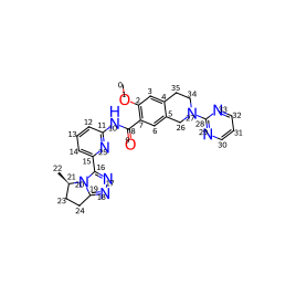 COc1cc2c(cc1C(=O)Nc1cccc(-c3nnc4n3[C@H](C)CC4)n1)CN(c1ncccn1)CC2